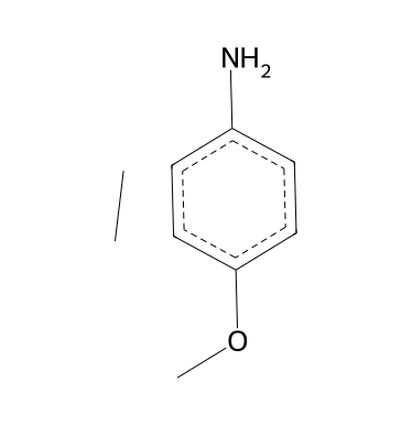 CC.COc1ccc(N)cc1